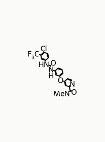 CNC(=O)c1cc(Oc2cccc(NC(=O)Nc3ccc(Cl)c(C(F)(F)F)c3)c2)ccn1